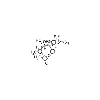 Cc1cc2cc(c1F)[C@H](CC(O)O)NC(=O)[C@H](n1cc(CCN3CC(F)C3)c(C(F)(F)F)cc1=O)c1cc(ccc1F)Oc1cc(Cl)cc(C)c1-2